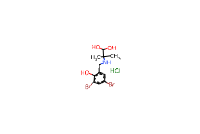 CC(C)(NCc1cc(Br)cc(Br)c1O)C(O)O.Cl